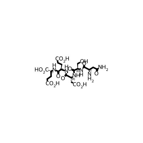 NC(=O)C[C@H](N)C(=O)N[C@H](CO)C(=O)N[C@H](CC(=O)O)C(=O)N[C@H](CCC(=O)O)C(=O)N[C@H](CCC(=O)O)C(=O)O